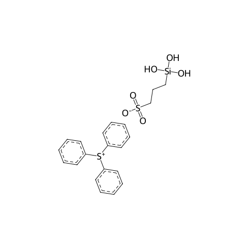 O=S(=O)([O-])CCC[Si](O)(O)O.c1ccc([S+](c2ccccc2)c2ccccc2)cc1